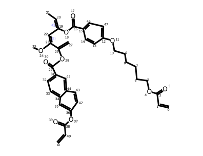 C=CC(=O)OCCCCCCOc1ccc(C(=O)OC(=C/C)/C=C(/OC)C(=C)OC(=O)c2ccc3cc(OC(=O)C=C)ccc3c2)cc1